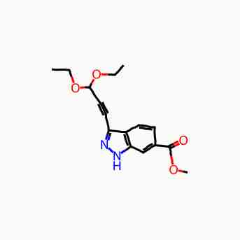 CCOC(C#Cc1n[nH]c2cc(C(=O)OC)ccc12)OCC